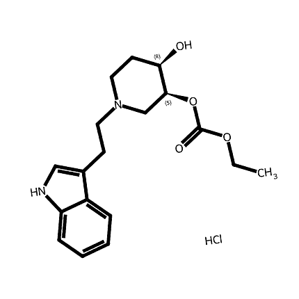 CCOC(=O)O[C@H]1CN(CCc2c[nH]c3ccccc23)CC[C@H]1O.Cl